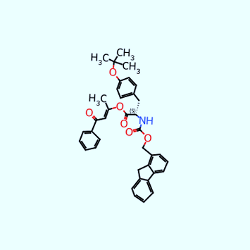 CC(=CC(=O)c1ccccc1)OC(=O)[C@H](Cc1ccc(OC(C)(C)C)cc1)NC(=O)OCc1cccc2c1Cc1ccccc1-2